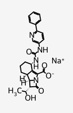 CC(O)[C@H]1C(=O)N2C(C(=O)[O-])=C3[C@@H](NC(=O)Nc4ccc(-c5ccccc5)nc4)CCC[C@@H]3[C@H]12.[Na+]